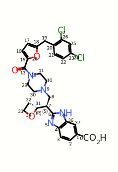 O=C(O)c1ccc2nc([C@H](CN3CCN(C(=O)c4ccc(Cc5ccc(Cl)cc5Cl)o4)CC3)[C@H]3CCO3)[nH]c2c1